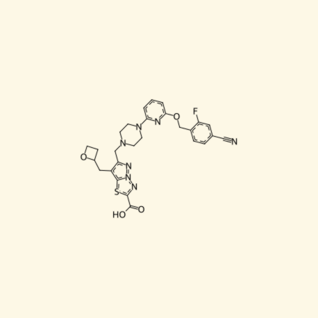 N#Cc1ccc(COc2cccc(N3CCN(Cc4nn5nc(C(=O)O)sc5c4CC4CCO4)CC3)n2)c(F)c1